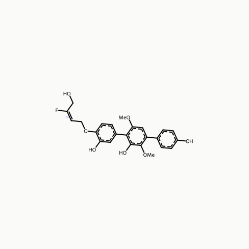 COc1cc(-c2ccc(O)cc2)c(OC)c(O)c1-c1ccc(OC/C=C(/F)CO)c(O)c1